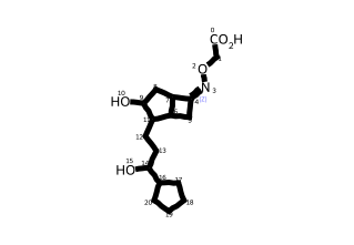 O=C(O)CO/N=C1/CC2C1CC(O)C2CCC(O)C1CCCC1